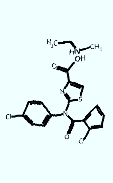 CCNC.O=C(O)c1csc(N(C(=O)c2ccccc2Cl)c2ccc(Cl)cc2)n1